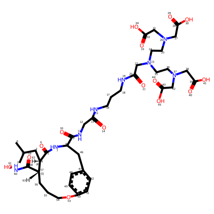 CC(C)C[C@H]1C(=O)NC(C(=O)NCC(=O)NCCCNC(=O)CN(CCN(CC(=O)O)CC(=O)O)CCN(CC(=O)O)CC(=O)O)Cc2ccc(cc2)OCCC[C@@H]1C(=O)NO